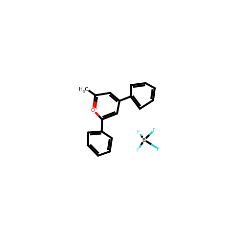 Cc1cc(-c2ccccc2)cc(-c2ccccc2)[o+]1.F[B-](F)(F)F